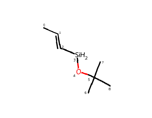 CC=C[SiH2]OC(C)(C)C